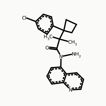 CC(C)(C(=O)N(N)c1cccc2ncccc12)C1(c2ccc(Cl)cc2)CCC1